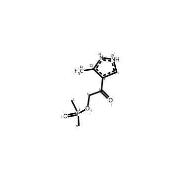 CP(C)(=O)OCC(=O)c1c[nH]nc1C(F)(F)F